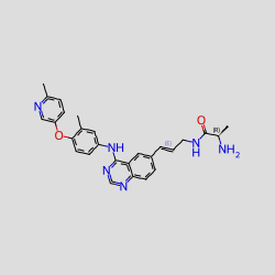 Cc1ccc(Oc2ccc(Nc3ncnc4ccc(/C=C/CNC(=O)[C@@H](C)N)cc34)cc2C)cn1